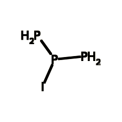 PP(P)I